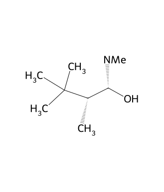 CN[C@H](O)[C@H](C)C(C)(C)C